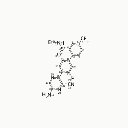 CCN[S+]([O-])c1cc(C(F)(F)F)ccc1-c1ccc(-c2ncc(N)nc2C#N)c(F)c1